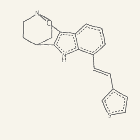 C(=Cc1cccc2c3c([nH]c12)C1CCN(CC1)C3)c1ccsc1